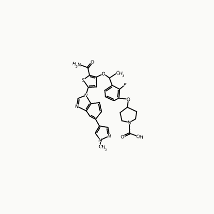 CC(Oc1cc(-n2cnc3cc(-c4cnn(C)c4)ccc32)sc1C(N)=O)c1cccc(OC2CCN(C(=O)O)CC2)c1F